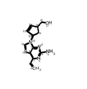 C=Cc1nc(N)nc2c1ncn2C1C=CC(CO)C1